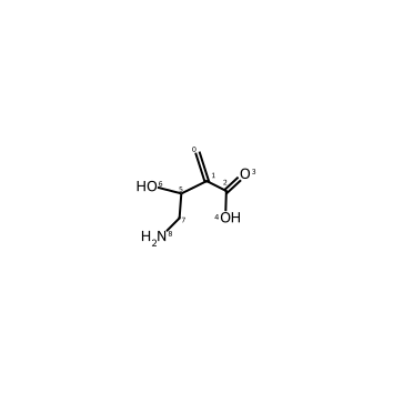 C=C(C(=O)O)C(O)CN